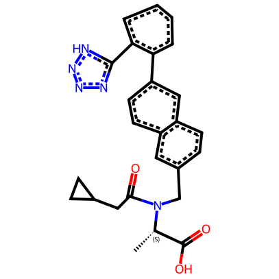 C[C@@H](C(=O)O)N(Cc1ccc2cc(-c3ccccc3-c3nnn[nH]3)ccc2c1)C(=O)CC1CC1